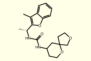 Cc1c([C@@H](C)NC(=O)NC2CCOC3(CCOC3)C2)oc2ccccc12